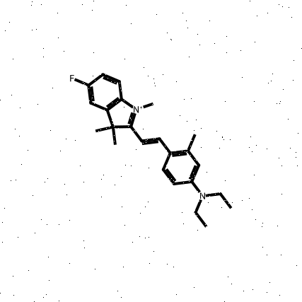 CCN(CC)c1ccc(/C=C/C2=[N+](C)c3ccc(F)cc3C2(C)C)c(C)c1